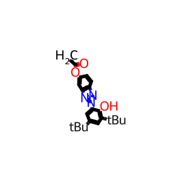 C=CC(=O)Oc1ccc2c(c1)n1n(-c3cc(C(C)(C)C)cc(C(C)(C)C)c3O)n21